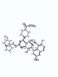 C#Cc1c(F)ccc2cc(O)cc(-c3ncc4c(N5CCC(C(=O)OC)CC5)nc(OC[C@@]56CCCN5C[C@H](F)C6)nc4c3F)c12